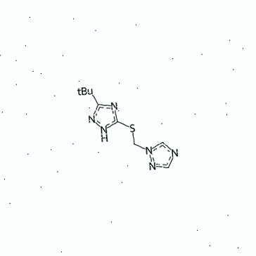 CC(C)(C)c1n[nH]c(SCn2cncn2)n1